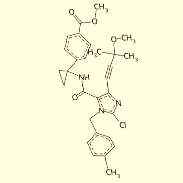 COC(=O)c1ccc(C2(NC(=O)c3c(C#CC(C)(C)OC)nc(Cl)n3Cc3ccc(C)cc3)CC2)cc1